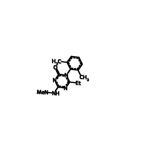 CCc1nc(NNC)nc(=O)n1-c1c(C)cccc1C